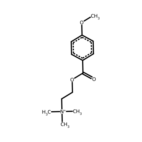 COc1ccc(C(=O)OCC[N+](C)(C)C)cc1